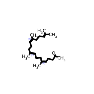 CC(=O)CC/C=C(/C)CC/C=C(\C)CC/C=C(/C)CCC=C(C)C